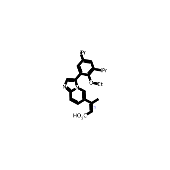 CCOc1c(-c2cnc3ccc(/C(C)=C\C(=O)O)cn23)cc(C(C)C)cc1C(C)C